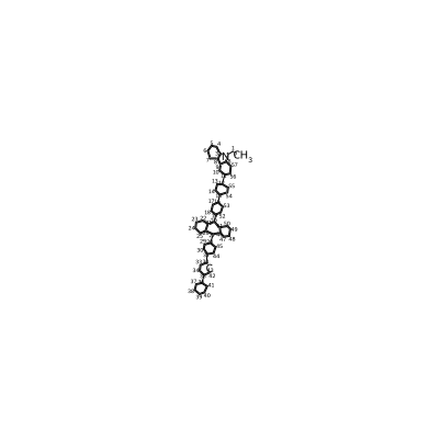 CCn1c2ccccc2c2cc(-c3ccc(-c4ccc(-c5c6ccccc6c(-c6ccc(-c7ccc(-c8ccccc8)cc7)cc6)c6ccccc56)cc4)cc3)ccc21